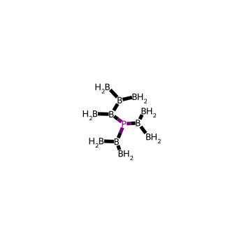 BB(B)B(B)P(B(B)B)B(B)B